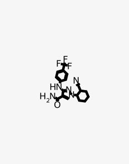 N#CC1CCCCC1n1cc(C(N)=O)c(Nc2ccc(C(F)(F)F)cc2)n1